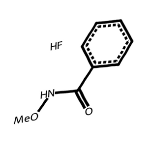 CONC(=O)c1ccccc1.F